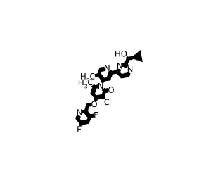 Cc1cnc(-c2ccnc([C@@H](O)C3CC3)n2)cc1-n1c(C)cc(OCc2ncc(F)cc2F)c(Cl)c1=O